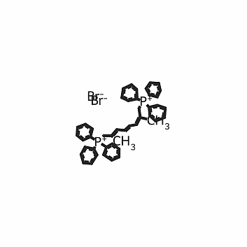 CC(=CC=CC=C(C)C[P+](c1ccccc1)(c1ccccc1)c1ccccc1)C[P+](c1ccccc1)(c1ccccc1)c1ccccc1.[Br-].[Br-]